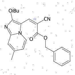 Cc1ccn2c(/C=C(/C#N)C(=O)OCc3ccccc3)c(OCC(C)C)nc2c1